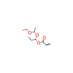 C=CC(=O)OC(CC)OC(C)OCC